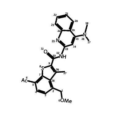 COCc1ccc(C(C)=O)c2sc(C(=O)Nc3cc(N(C)C)c4ccccc4n3)c(C)c12